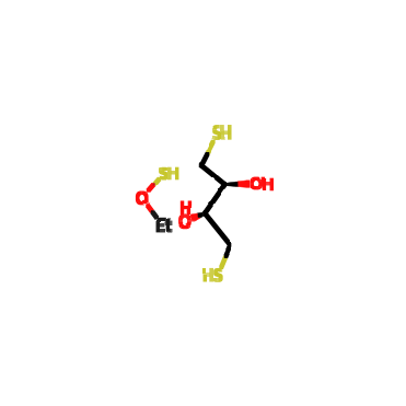 CCOS.O[C@H](CS)[C@H](O)CS